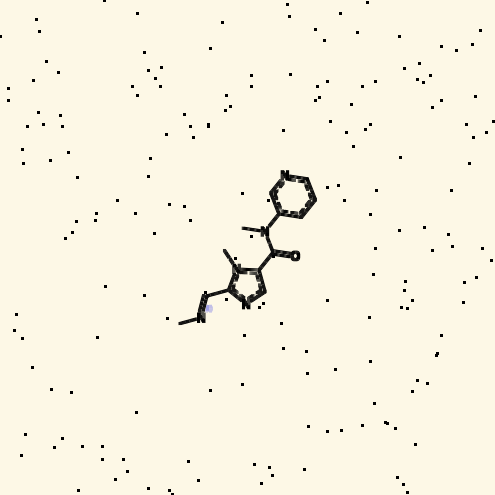 C/N=C/c1ncc(C(=O)N(C)c2cccnc2)n1C